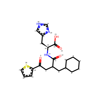 O=C(CC(CC1CCCCC1)C(=O)N[C@@H](Cc1c[nH]cn1)C(=O)O)c1cccs1